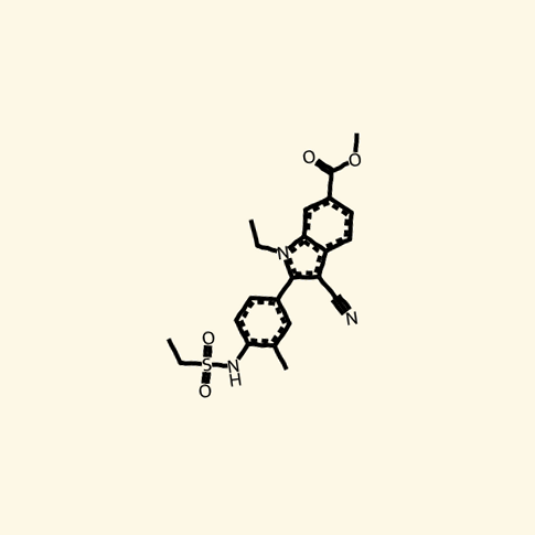 CCn1c(-c2ccc(NS(=O)(=O)CC)c(C)c2)c(C#N)c2ccc(C(=O)OC)cc21